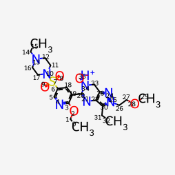 CCOc1ncc(S(=O)(=O)N2CCN(CC)CC2)cc1C1=Nc2c(nn(CCOC)c2CC)C[NH+]1[O-]